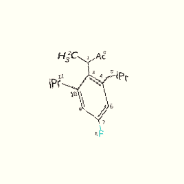 CC(=O)C(C)c1c(C(C)C)cc(F)cc1C(C)C